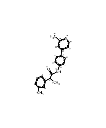 Cc1cccc(C(C)C(=O)Nc2ccc(-c3ccnc(C)c3)cc2)c1